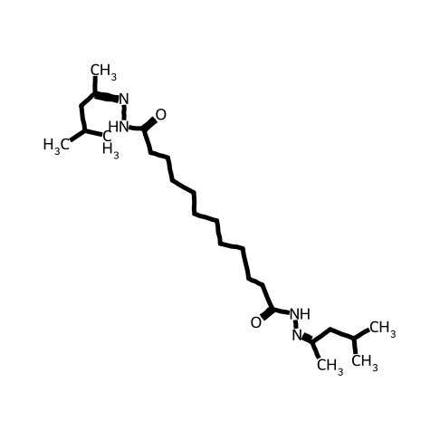 CC(CC(C)C)=NNC(=O)CCCCCCCCCCC(=O)NN=C(C)CC(C)C